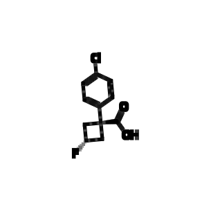 O=C(O)[C@]1(c2ccc(Cl)cc2)C[C@@H](F)C1